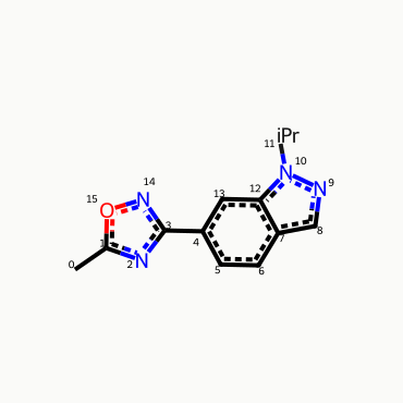 Cc1nc(-c2ccc3cnn(C(C)C)c3c2)no1